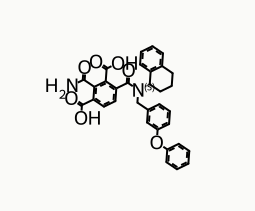 NC(=O)c1c(C(=O)O)ccc(C(=O)N(Cc2cccc(Oc3ccccc3)c2)[C@H]2CCCc3ccccc32)c1C(=O)O